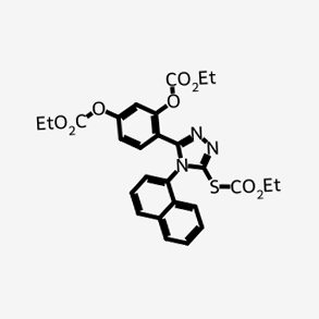 CCOC(=O)Oc1ccc(-c2nnc(SC(=O)OCC)n2-c2cccc3ccccc23)c(OC(=O)OCC)c1